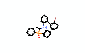 CC(Nc1ccccc1-c1ccccc1Br)P(=O)(c1ccccc1)c1ccccc1